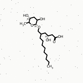 CCCCCCCCCC(CO[C@@H]1OC(C)[C@H](O)CC1O)C[C@@H](O)CC(=O)O